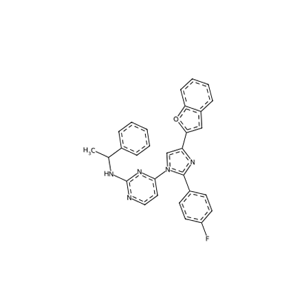 CC(Nc1nccc(-n2cc(-c3cc4ccccc4o3)nc2-c2ccc(F)cc2)n1)c1ccccc1